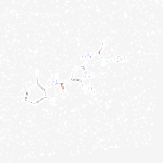 Cc1nc(NC(=O)OC(C)(C)C)sc1C(=O)Nc1c(Cl)cccc1Cl